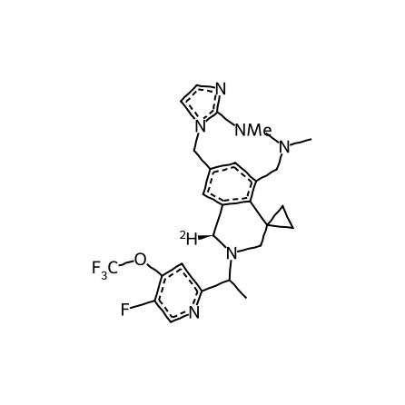 [2H][C@H]1c2cc(Cn3ccnc3NC)cc(CN(C)C)c2C2(CC2)CN1C(C)c1cc(OC(F)(F)F)c(F)cn1